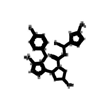 CCC(NC(=O)N1CC(OC(C)=O)CC1c1nnc(C)n1Cc1ccc(Cl)cc1)c1ccc(C)o1